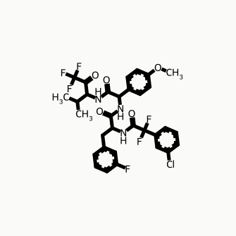 COc1ccc(C(NC(=O)C(Cc2cccc(F)c2)NC(=O)C(F)(F)c2cccc(Cl)c2)C(=O)NC(C(=O)C(F)(F)F)C(C)C)cc1